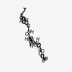 CC(C)CCC[C@@H](C)[C@H]1CC[C@H]2[C@@H]3CC=C4C[C@@H](OCCCNC(=O)CCC(=O)N[C@@H](CC(C)N)C(=O)NCC(=O)Nc5ccc(COC(=O)Oc6ccc([N+](=O)[O-])cc6)cc5)CC[C@]4(C)[C@H]3CC[C@]12C